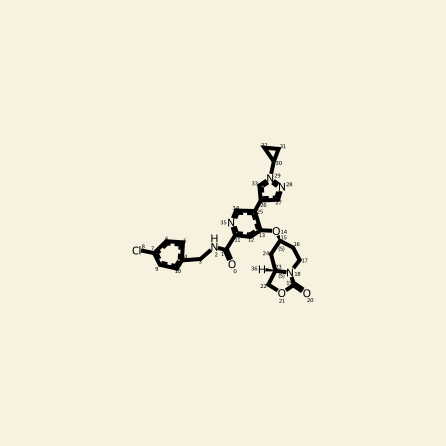 O=C(NCc1ccc(Cl)cc1)c1cc(O[C@H]2CCN3C(=O)OC[C@@H]3C2)c(-c2cnn(C3CC3)c2)cn1